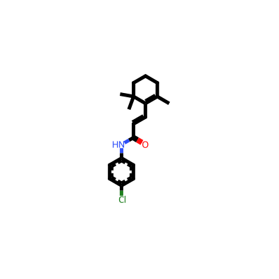 CC1=C(C=CC(=O)Nc2ccc(Cl)cc2)C(C)(C)CCC1